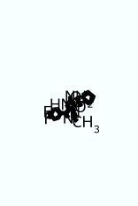 Cc1nc(C2=CCC(F)(F)CC2)c2[nH]c(N)c(S(=O)(=O)c3ccccc3)c2n1